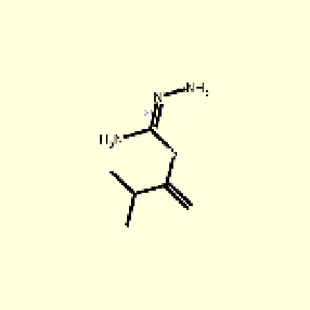 C=C(S/C(N)=N\N)C(C)C